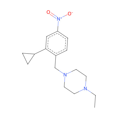 CCN1CCN(Cc2ccc([N+](=O)[O-])cc2C2CC2)CC1